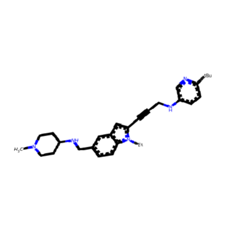 CCn1c(C#CCNc2ccc(C(C)(C)C)nc2)cc2cc(CNC3CCN(C)CC3)ccc21